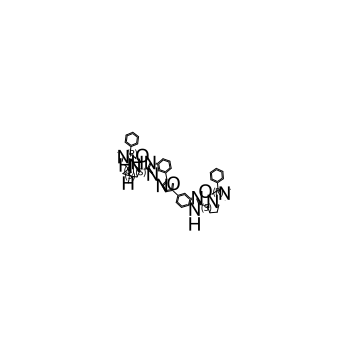 CN(C)[C@@H](C(=O)N1CCC[C@H]1c1nc2cc(-c3cnc(-c4cccc5[nH]c([C@@H]6C[C@@H]7C[C@@H]7N6C(=O)[C@@H](c6ccccc6)N(C)C)nc45)o3)ccc2[nH]1)c1ccccc1